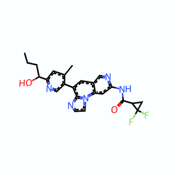 CCCC(O)c1cc(C)c(-c2cc3cnc(NC(=O)C4CC4(F)F)cc3n3ccnc23)cn1